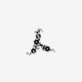 COC(=O)N1CCN(Cc2cccc(NC(=O)Nc3ccc(C)nc3)c2OCCOS(=O)(=O)c2ccc(C)cc2)CC1